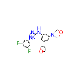 Fc1cc(F)cc(-n2cnc(Nc3cc(C4=CCOC4)cc(N4CCOCC4)c3)n2)c1